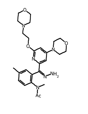 CC(=O)N(C)c1ccc(C)cc1C(=NN)c1cc(N2CCOCC2)cc(OCCN2CCOCC2)n1